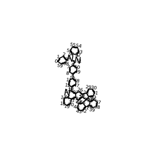 c1ccc(-n2c(-c3ccc(-c4ccc(-c5nc6ccccc6c6cc7c(cc56)-c5ccccc5C75c6ccccc6-c6ccccc65)cc4)cc3)nc3ccccc32)cc1